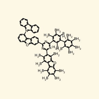 Bc1c(B)c(B)c(-c2c(B)c(B)c(B)c(-c3nc(-c4ccc5c(c4)oc4cccc(-n6c7ccccc7c7ccccc76)c45)nc(-c4c(B)c(B)c5c(oc6c(B)c(B)c(B)c(B)c65)c4B)n3)c2B)c(B)c1B